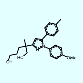 COc1ccc(-n2nc(C(C)(CO)CCCO)cc2-c2ccc(C)cc2)cc1